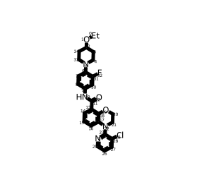 CCOC1CCN(c2ccc(NC(=O)c3cccc4c3OCCN4c3ncccc3Cl)cc2F)CC1